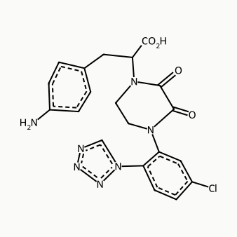 Nc1ccc(CC(C(=O)O)N2CCN(c3cc(Cl)ccc3-n3cnnn3)C(=O)C2=O)cc1